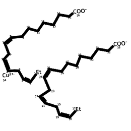 CC/C=C\C/C=C\C/C=C\CCCCCCCC(=O)[O-].CC/C=C\C/C=C\C/C=C\CCCCCCCC(=O)[O-].[Cu+2]